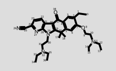 CCc1cc2c(cc1OCCN(CC)CC)C(C)(C)c1c(c3ccc(C#N)nc3n1CCN(CC)CC)C2=O